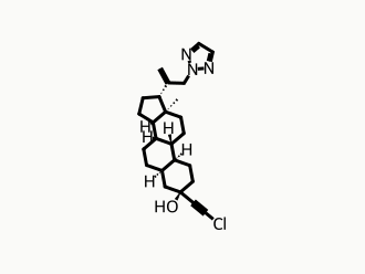 C=C(Cn1nccn1)[C@H]1CC[C@H]2[C@@H]3CC[C@@H]4C[C@@](O)(C#CCl)CC[C@@H]4[C@H]3CC[C@]12C